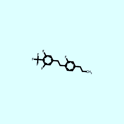 CCCc1ccc(CCc2cc(F)c(C(F)(F)F)c(F)c2)c(F)c1